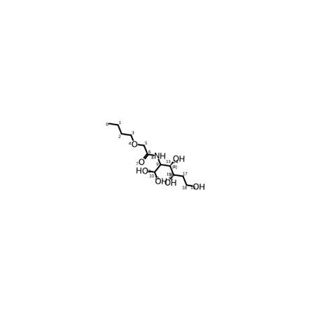 CCCCOCC(=O)NC(C(O)O)[C@@H](O)[C@H](O)CCO